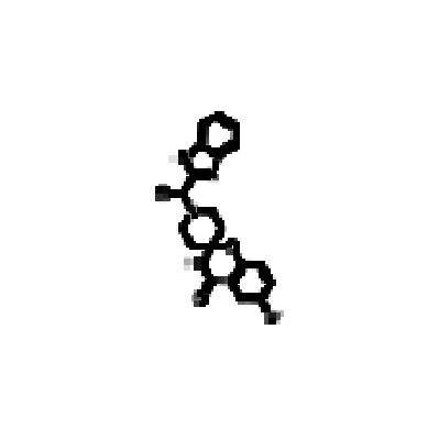 O=C1NC2(CCN(C(=O)c3nc4ccccc4[nH]3)CC2)Oc2ccc(Br)cc21